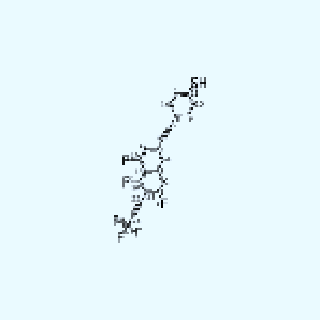 Fc1cc2cc(C#Cc3ccc(S)cc3)cc(F)c2c(F)c1C#CC(F)(F)F